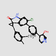 Cc1ccc(C2CC23C(=O)Nc2cc(Cl)c(-c4ccc(-c5ccncc5O)cc4)cc23)cc1C(=O)O